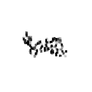 COc1ccc2c(c1S(=O)(=O)NC(=O)c1ccc3c(-n4ccc(C)n4)cccc3n1)OCC2(C)C